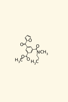 CCCN(C)C(=O)c1cc(C(=O)OC)cc(C(=O)c2ccco2)c1